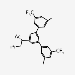 CC(=O)C(CC(C)C)c1cc(-c2cc(C)cc(C(F)(F)F)c2)cc(-c2cc(C)cc(C(F)(F)F)c2)c1